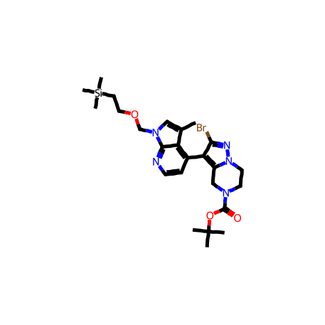 Cc1cn(COCC[Si](C)(C)C)c2nccc(-c3c(Br)nn4c3CN(C(=O)OC(C)(C)C)CC4)c12